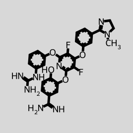 CN1CCN=C1c1cccc(Oc2c(F)c(Oc3cccc(NC(=N)N)c3)nc(Oc3cc(C(=N)N)ccc3O)c2F)c1